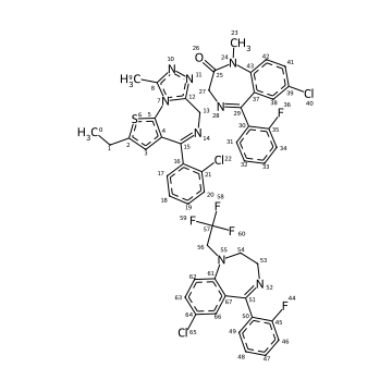 CCc1cc2c(s1)-n1c(C)nnc1CN=C2c1ccccc1Cl.CN1C(=O)CN=C(c2ccccc2F)c2cc(Cl)ccc21.Fc1ccccc1C1=NCCN(CC(F)(F)F)c2ccc(Cl)cc21